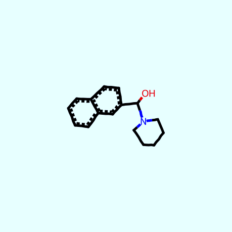 OC(c1ccc2ccccc2c1)N1CCCCC1